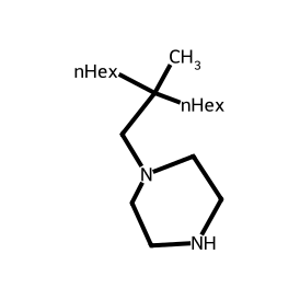 CCCCCCC(C)(CCCCCC)CN1CCNCC1